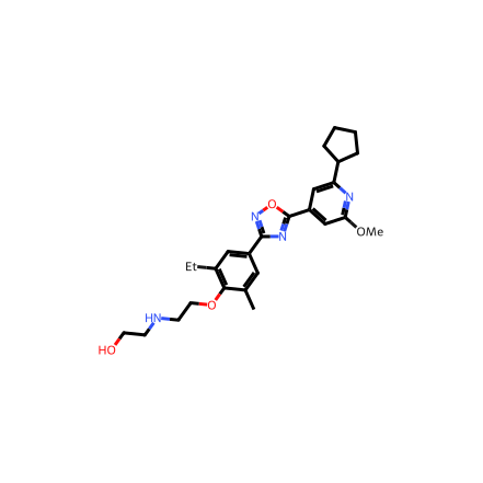 CCc1cc(-c2noc(-c3cc(OC)nc(C4CCCC4)c3)n2)cc(C)c1OCCNCCO